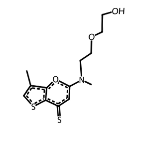 Cc1csc2c(=S)cc(N(C)CCOCCO)oc12